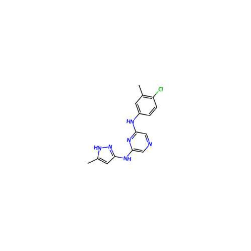 Cc1cc(Nc2cncc(Nc3ccc(Cl)c(C)c3)n2)n[nH]1